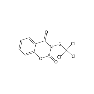 O=C1c2ccccc2OS(=O)N1SC(Cl)(Cl)Cl